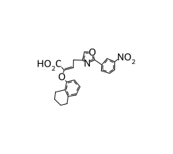 O=C(O)C(=CCc1coc(-c2cccc([N+](=O)[O-])c2)n1)Oc1cccc2c1CCCC2